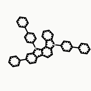 c1ccc(-c2ccc(-n3c4ccccc4c4c3ccc3c5ccc(-c6ccccc6)cc5n(-c5ccc(-c6ccccc6)cc5)c34)cc2)cc1